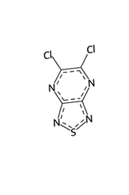 Clc1nc2nsnc2nc1Cl